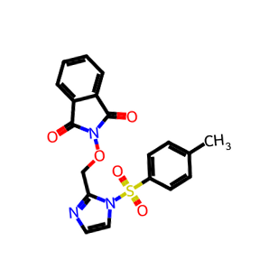 Cc1ccc(S(=O)(=O)n2ccnc2CON2C(=O)c3ccccc3C2=O)cc1